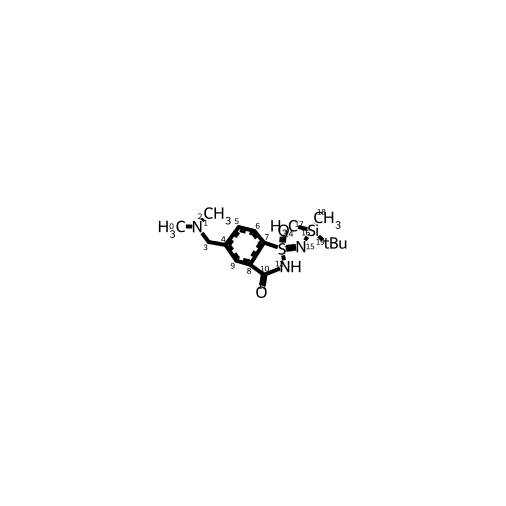 CN(C)Cc1ccc2c(c1)C(=O)NS2(=O)=N[Si](C)(C)C(C)(C)C